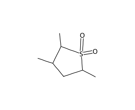 CC1CC(C)S(=O)(=O)C1C